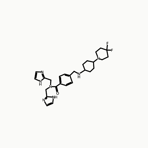 O=C(c1ccc(CNC2CCC(N3CCC(F)(F)CC3)CC2)cc1)N(Cc1ncc[nH]1)Cc1ncc[nH]1